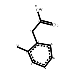 CCCC(=O)Cc1ccccc1C